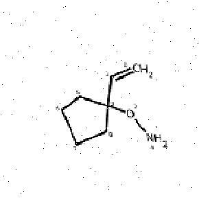 C=CC1(ON)CCCC1